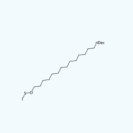 CCCCCCCCCCCCCCCCCCCCCCCCOSI